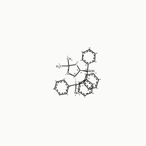 CC1(C)O[C@@H](C(N)(c2ccccc2)c2ccccc2)[C@H](C(O)(c2ccccc2)c2ccccc2)O1